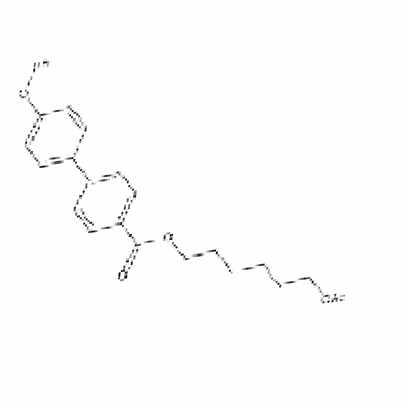 CCCOc1ccc(-c2ccc(C(=O)OCCCCCCOC(C)=O)cc2)cc1